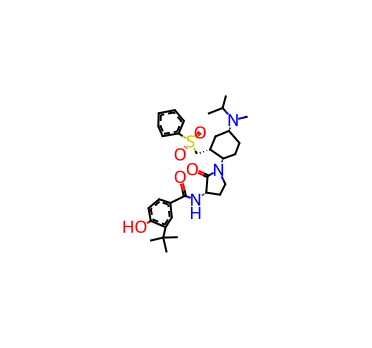 CC(C)N(C)[C@@H]1CC[C@H](N2CC[C@H](NC(=O)c3ccc(O)c(C(C)(C)C)c3)C2=O)[C@H](CS(=O)(=O)c2ccccc2)C1